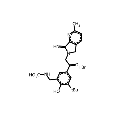 Br.Cc1ccc2c(n1)C(=N)N(CC(=O)c1cc(CNC(=O)O)c(O)c(C(C)(C)C)c1)C2